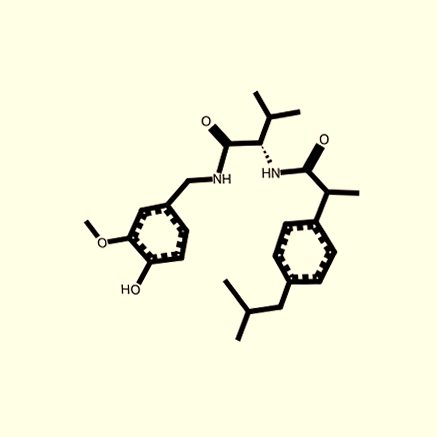 COc1cc(CNC(=O)[C@@H](NC(=O)C(C)c2ccc(CC(C)C)cc2)C(C)C)ccc1O